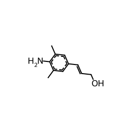 Cc1cc(C=CCO)cc(C)c1N